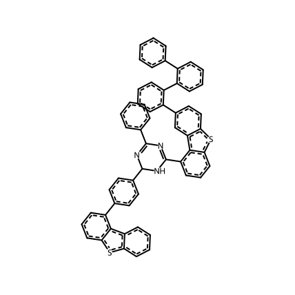 c1ccc(C2=NC(c3ccc(-c4cccc5sc6ccccc6c45)cc3)NC(c3cccc4sc5ccc(-c6ccccc6-c6ccccc6-c6ccccc6)cc5c34)=N2)cc1